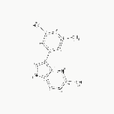 Cc1cc(C)cc(-n2cnc3ccc(O)nc32)c1